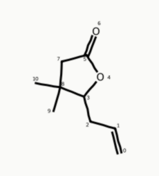 C=CCC1OC(=O)CC1(C)C